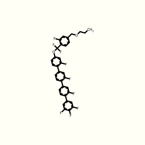 CCCOCc1ccc(C(F)(F)Oc2ccc(-c3ccc(-c4ccc(-c5cc(F)c(F)c(F)c5)c(F)c4)c(F)c3)c(F)c2)c(F)c1